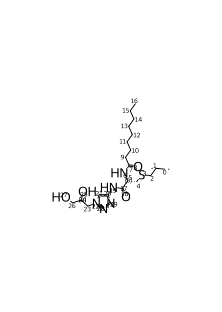 [CH2][CH]CSC[C@@H](NC(=O)CCCCCCCC)C(=O)Nc1cn(C[C@@H](O)CO)nn1